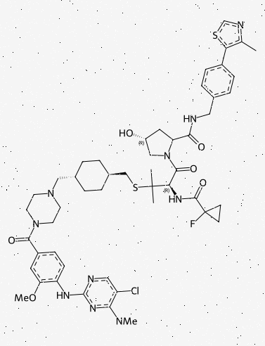 CNc1nc(Nc2ccc(C(=O)N3CCN(C[C@H]4CC[C@H](CSC(C)(C)[C@H](NC(=O)C5(F)CC5)C(=O)N5C[C@H](O)CC5C(=O)NCc5ccc(-c6scnc6C)cc5)CC4)CC3)cc2OC)ncc1Cl